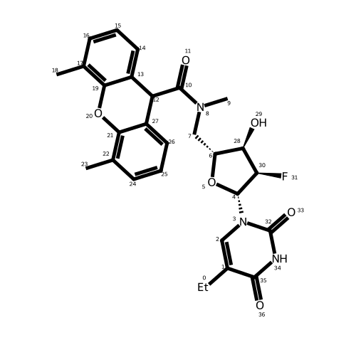 CCc1cn([C@@H]2O[C@H](CN(C)C(=O)C3c4cccc(C)c4Oc4c(C)cccc43)[C@@H](O)[C@H]2F)c(=O)[nH]c1=O